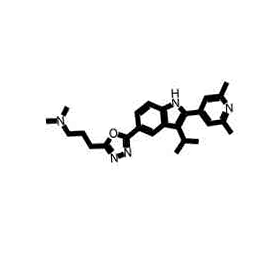 Cc1cc(-c2[nH]c3ccc(-c4nnc(CCCN(C)C)o4)cc3c2C(C)C)cc(C)n1